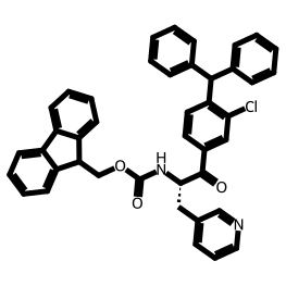 O=C(N[C@@H](Cc1cccnc1)C(=O)c1ccc([C](c2ccccc2)c2ccccc2)c(Cl)c1)OCC1c2ccccc2-c2ccccc21